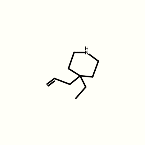 C=CCC1(CC)CCNCC1